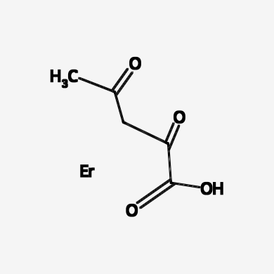 CC(=O)CC(=O)C(=O)O.[Er]